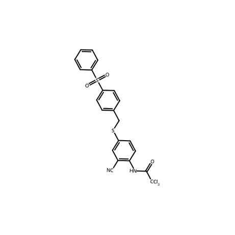 N#Cc1cc(SCc2ccc(S(=O)(=O)c3ccccc3)cc2)ccc1NC(=O)C(Cl)(Cl)Cl